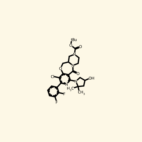 CC(C)(C)OC(=O)N1CCN2C(=O)c3c(N4CC(O)CC4(C)C)nc(-c4cccc(F)c4F)c(Cl)c3OCC2C1